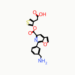 NCc1cccc(-c2nc(C(=O)Oc3cscc3CC(=O)O)cc3ccoc23)c1